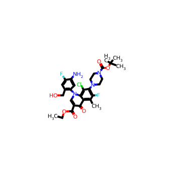 CCOC(=O)c1cn(-c2cc(N)c(F)cc2CO)c2c(Cl)c(N3CCN(C(=O)OC(C)(C)C)CC3)c(F)c(C)c2c1=O